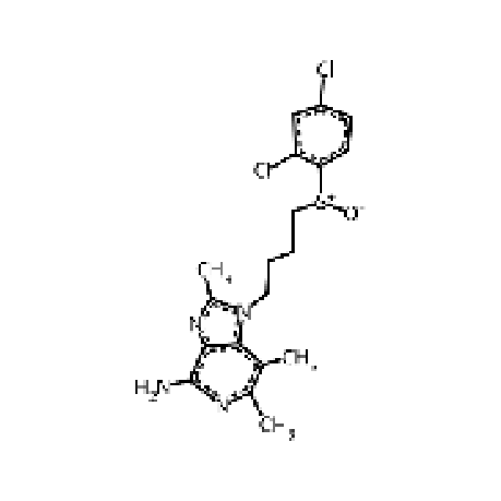 Cc1nc(N)c2nc(C)n(CCCC[S+]([O-])c3ccc(Cl)cc3Cl)c2c1C